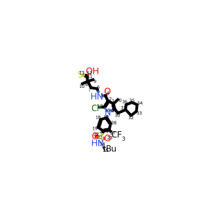 Cc1c(C(=O)NCCC(C)(C)C(O)=S)c(Cl)n(-c2ccc(S(=O)(=O)NC(C)(C)C)c(C(F)(F)F)c2)c1CC1CCCCC1